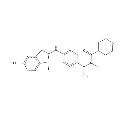 CN(C(=O)C1CCSCC1)C(c1ccc(NC2Cc3cc(Cl)ccc3C2(C)C)cc1)C(F)(F)F